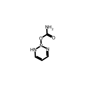 NC(=O)ON1N=CC=CN1